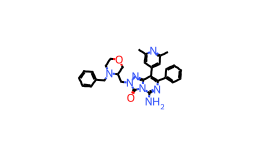 Cc1cc(-c2c(-c3ccccc3)nc(N)n3c(=O)n(CC4COCCN4Cc4ccccc4)nc23)cc(C)n1